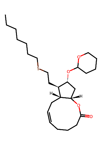 CCCCCCCSCC[C@@H]1[C@H]2C/C=C\CCCC(=O)O[C@H]2C[C@H]1OC1CCCCO1